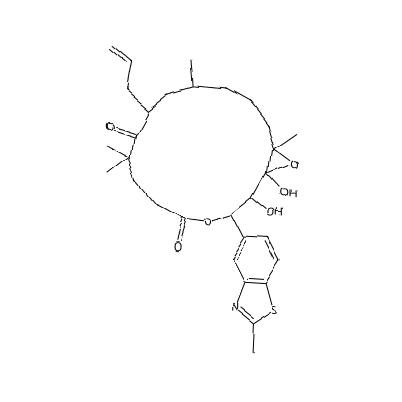 C=CCC1CC(C)CCCC2(C)OC2(O)C(O)C(c2ccc3sc(C)nc3c2)OC(=O)CCC(C)(C)C1=O